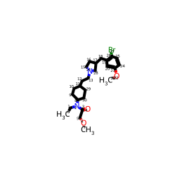 CCN(C(=O)COC)C1CCC(CCN2CCC(Cc3cc(OC)ccc3Br)C2)CC1